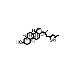 Cc1cc(C[C@H](C)[C@H]2CC[C@H]3[C@@H]4CC[C@@H]5C[C@](C)(O)CC[C@@H]5[C@H]4CC[C@]23C)sn1